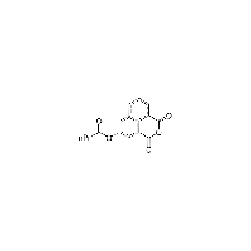 CCCC(=O)Oc1cc2c3c(cccc3c1)C(=O)OC2=O